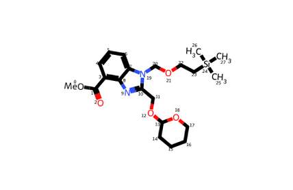 COC(=O)c1cccc2c1nc(COC1CCCCO1)n2COCC[Si](C)(C)C